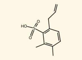 C=CCc1ccc(C)c(C)c1S(=O)(=O)O